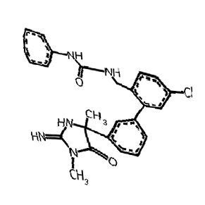 CN1C(=N)NC(C)(c2cccc(-c3cc(Cl)ccc3CNC(=O)Nc3ccccc3)c2)C1=O